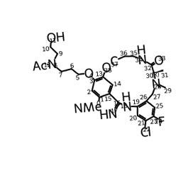 CNc1cc(OCCCN(CCO)C(C)=O)c2cc1C(=N)Nc1cc(Cl)c(F)cc1CN(C)[C@H](C)C(=O)NCCCO2